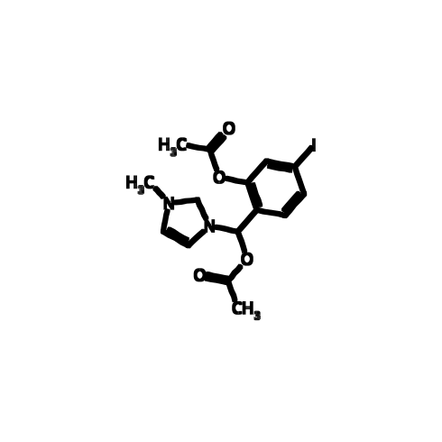 CC(=O)Oc1cc(I)ccc1C(OC(C)=O)N1C=CN(C)C1